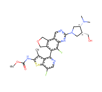 CN(C)[C@H]1CN(c2ncc3c4c(c(-c5ncc(F)c6sc(NC(=O)OC(C)(C)C)c(C#N)c56)c(F)c3n2)COC4)C[C@H]1CO